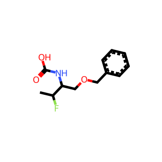 CC(F)C(COCc1ccccc1)NC(=O)O